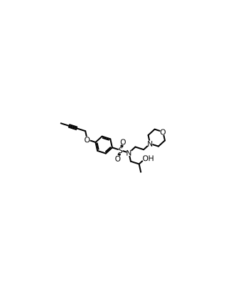 CC#CCOc1ccc(S(=O)(=O)N(CCN2CCOCC2)CC(C)O)cc1